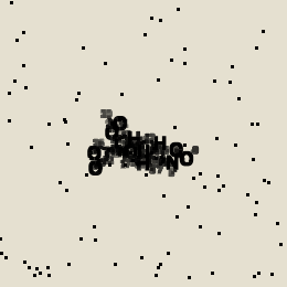 COC(=O)N(C)[C@H]1CC[C@@]2(C)[C@H](CC[C@@H]3[C@@H]2CC[C@]2(C)[C@@H](C4=CC(=O)OC4)[C@@H](OC(C)=O)C[C@]32O)C1